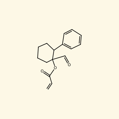 C=CC(=O)OC1(C=O)CCCCC1c1ccccc1